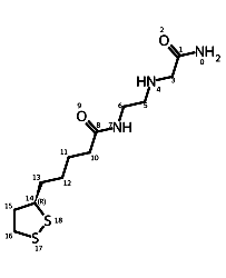 NC(=O)CNCCNC(=O)CCCC[C@@H]1CCSS1